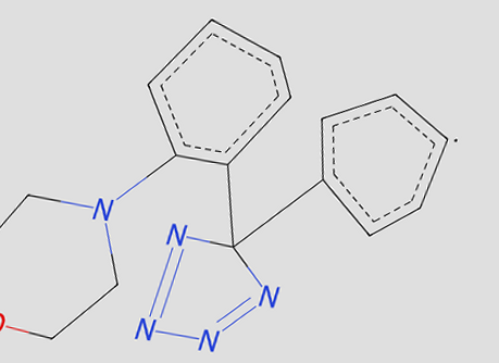 [c]1ccc(C2(c3ccccc3N3CCOCC3)N=NN=N2)cc1